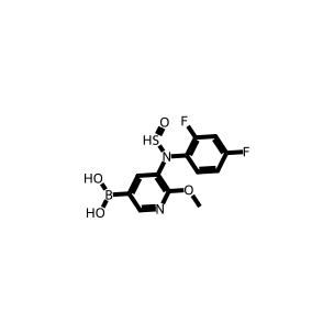 COc1ncc(B(O)O)cc1N([SH]=O)c1ccc(F)cc1F